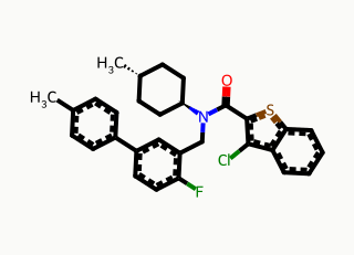 Cc1ccc(-c2ccc(F)c(CN(C(=O)c3sc4ccccc4c3Cl)[C@H]3CC[C@H](C)CC3)c2)cc1